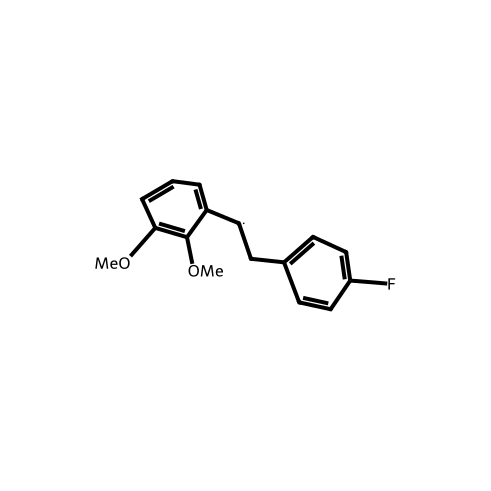 COc1cccc([CH]Cc2ccc(F)cc2)c1OC